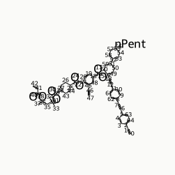 C#Cc1ccc(C#Cc2ccc(C#CC3(OC(=O)c4ccc(OC(=O)C5CCC(C(=O)OC(C)(C)CC(C)OC(=O)C=C)CC5)c(C#C)c4)CCC(C4CCC(CCCCC)CC4)CC3)cc2)cc1